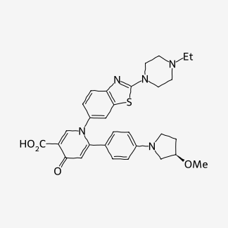 CCN1CCN(c2nc3ccc(-n4cc(C(=O)O)c(=O)cc4-c4ccc(N5CC[C@@H](OC)C5)cc4)cc3s2)CC1